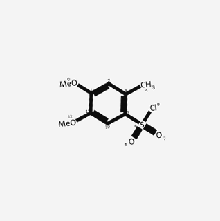 COc1cc(C)c(S(=O)(=O)Cl)cc1OC